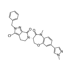 CN1C(=O)[C@@H](N2CCc3c(nn(Cc4ccccc4)c3Cl)C2=O)COc2cc(-c3cnn(C)c3)ccc21